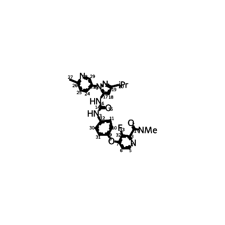 CNC(=O)c1nccc(Oc2ccc(NC(=O)Nc3cc(C(C)C)nn3-c3ccc(C)nc3)cc2)c1F